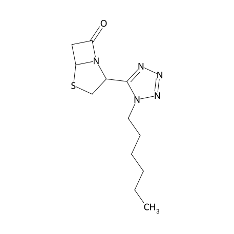 CCCCCCn1nnnc1C1CSC2CC(=O)N21